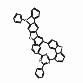 c1ccc(-c2nc(-c3ccccc3)nc(-c3cccc4sc5ccc(-c6ccc7oc8cc9c(cc8c7c6)c6ccccc6n9-c6ccccc6)cc5c34)n2)cc1